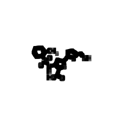 Cc1ccccc1S(=O)(=O)Nc1cc(-c2ccc(C=N)s2)sc1C(=O)O